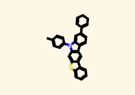 Cc1ccc(-n2c3cc(C4=CCCC=C4)ccc3c3cc4c(cc32)sc2ccccc24)cc1